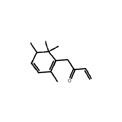 C=CC(=O)CC1=C(C)C=CC(C)C1(C)C